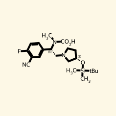 CN(C(=O)O)[C@H](CN1CC[C@H](O[Si](C)(C)C(C)(C)C)C1)c1ccc(F)c(C#N)c1